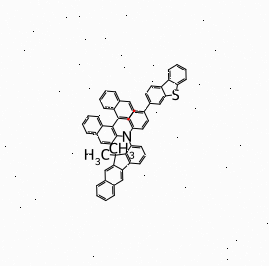 CC1(C)c2cc3ccccc3cc2-c2cccc(N(c3ccc(-c4ccc5c(c4)sc4ccccc45)cc3)c3ccc4ccccc4c3-c3cccc4ccccc34)c21